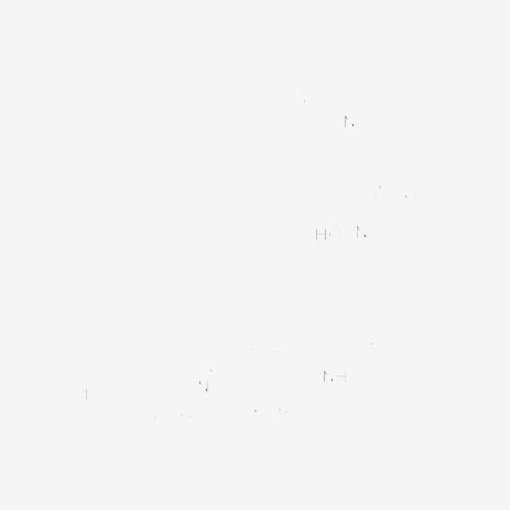 CN1CC(C(=O)N(O)Cc2ccc(Nc3ccc(N4CCC(C(F)(F)F)CC4)cc3)cc2)CCC1=O